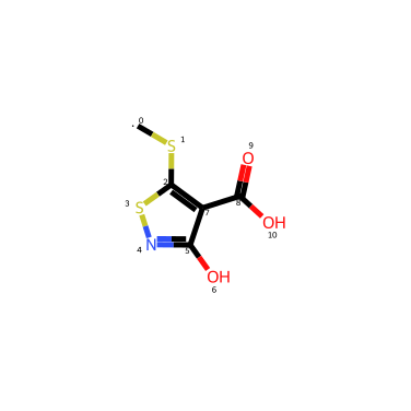 [CH2]Sc1snc(O)c1C(=O)O